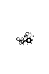 COc1ccccc1C1COC(=O)O1